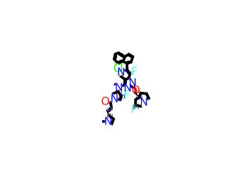 CN1CC[C@@H]1/C=C/C(=O)N1C[C@H](F)[C@@H](N(C)c2nc(OC[C@@]34CCCN3C[C@H](F)C4)nc3c(F)c(-c4cccc5cccc(Cl)c45)ncc23)C1